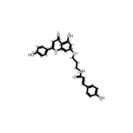 O=C(/C=C/c1ccc(O)cc1)NCCCOc1cc(O)c2c(=O)cc(-c3ccc(O)cc3)oc2c1